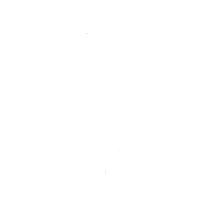 CCCCCCCCCCCCCCCCCC(=O)SCC(=O)N(c1c(C)ccc(C)c1C)C(C)C(=O)OC